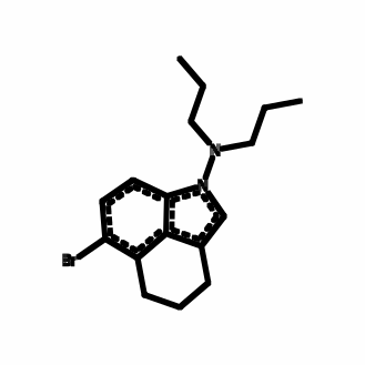 CCCN(CCC)n1cc2c3c(c(Br)ccc31)CCC2